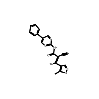 Cc1oncc1/C(O)=C(\C#N)C(=O)Nc1ncc(-c2ccccc2)cn1